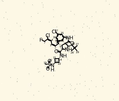 C=C(/C=C\C=C(\Cl)CF)[C@H]1[C@H](C(=O)N[C@H]2C[C@H](NS(C)(=O)=O)C2)N[C@H](CC(C)(C)C)[C@]12C(=O)Nc1cc(Cl)ccc12